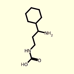 NC(CCNC(=O)O)C1CCCCC1